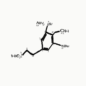 CC(C)(C)c1cc(CCC(=O)O)cc(C(C)(C)C)c1O.N